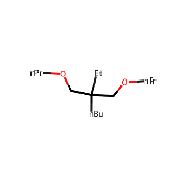 CCCCC(CC)(COCCC)COCCC